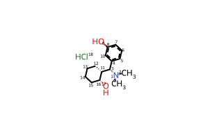 CN(C)[C@@H](c1cccc(O)c1)[C@H]1CCCC[C@H]1O.Cl